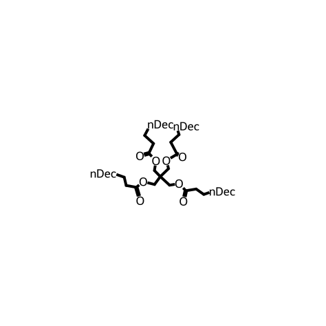 CCCCCCCCCCCCC(=O)OCC(COC(=O)CCCCCCCCCCCC)(COC(=O)CCCCCCCCCCCC)COC(=O)CCCCCCCCCCCC